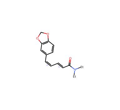 CCN(CC)C(=O)/C=C/C=C\c1ccc2c(c1)OCO2